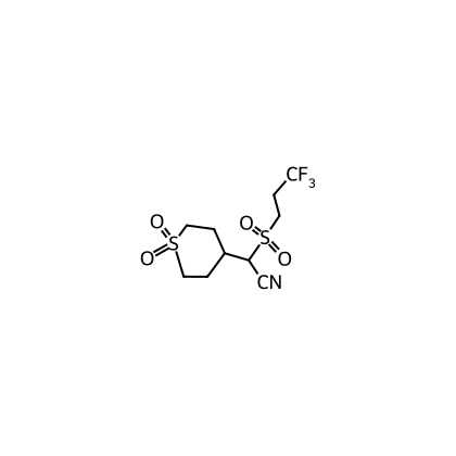 N#CC(C1CCS(=O)(=O)CC1)S(=O)(=O)CCC(F)(F)F